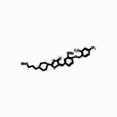 COCCCN1CCN(C2=NC(=O)/C(=C\c3ccc(OCc4ccc(C(F)(F)F)cc4C(F)(F)F)c(OC)c3)S2)CC1